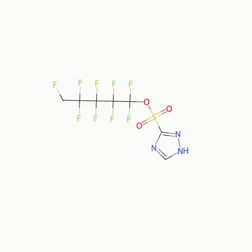 O=S(=O)(OC(F)(F)C(F)(F)C(F)(F)C(F)(F)CF)c1nc[nH]n1